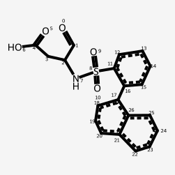 O=CC(CC(=O)O)NS(=O)(=O)c1ccccc1-c1cccc2ccccc12